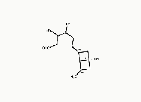 CCCC(CC=O)N(CC)CC[C@H]1C[C@H]2C[C@@H](C)C12